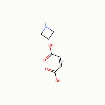 C1CNC1.O=C(O)/C=C\C(=O)O